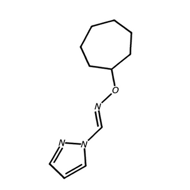 C(=NOC1CCCCCC1)n1cccn1